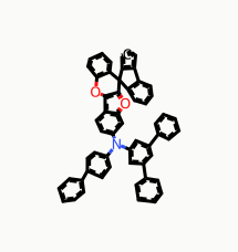 c1ccc(-c2ccc(N(c3cc(-c4ccccc4)cc(-c4ccccc4)c3)c3ccc4c5c(oc4c3)C3(c4ccccc4O5)c4ccccc4-c4ccccc43)cc2)cc1